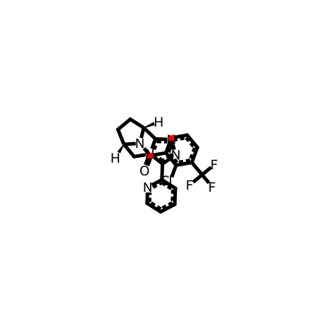 O=C(c1cccc(C(F)(F)F)c1Cl)N1[C@H]2CC[C@@H]1c1nnc(-c3ccccn3)n1C2